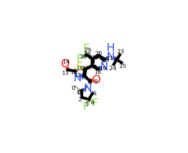 C[C@H]1CC(F)(F)CN1C(=O)c1nc(C=O)sc1-c1cnc(NC(C)(C)C)cc1C(F)F